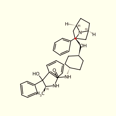 C[C@H](NC(=O)N[C@H]1CC[C@H](CCN2[C@@H]3CC[C@H]2CC(O)(c2ccccc2)C3)CC1)C(O)(c1ccccc1)c1ccccc1